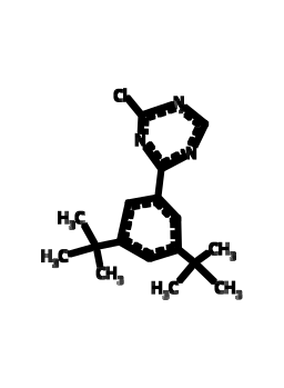 CC(C)(C)c1cc(-c2ncnc(Cl)n2)cc(C(C)(C)C)c1